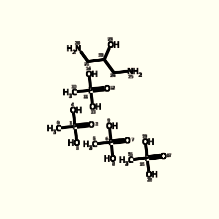 CP(=O)(O)O.CP(=O)(O)O.CP(=O)(O)O.CP(=O)(O)O.NCC(O)CN